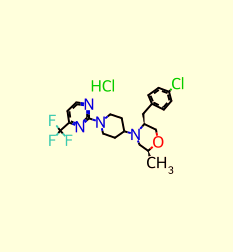 C[C@H]1CN(C2CCN(c3nccc(C(F)(F)F)n3)CC2)[C@@H](Cc2ccc(Cl)cc2)CO1.Cl